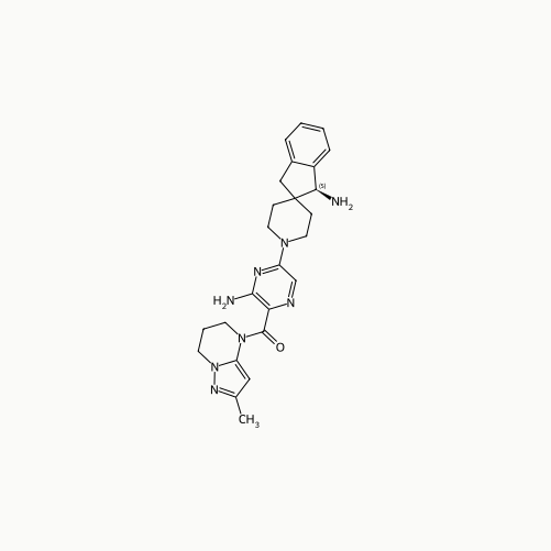 Cc1cc2n(n1)CCCN2C(=O)c1ncc(N2CCC3(CC2)Cc2ccccc2[C@H]3N)nc1N